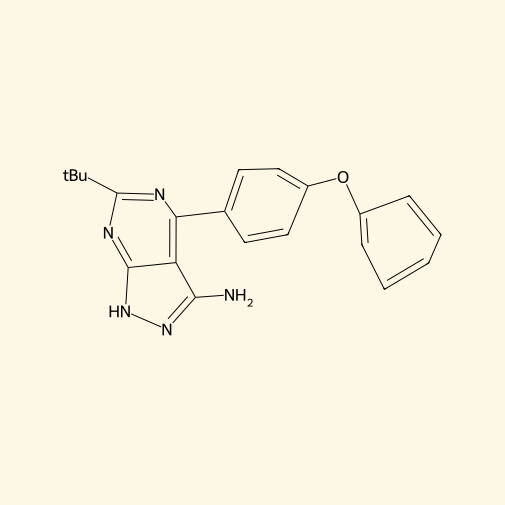 CC(C)(C)c1nc(-c2ccc(Oc3ccccc3)cc2)c2c(N)n[nH]c2n1